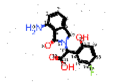 Nc1cccc2c1C(=O)N(C(C(=O)O)c1cc(F)ccc1O)C2